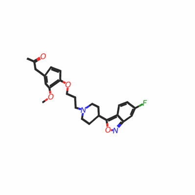 COc1cc(CC(C)=O)ccc1OCCCN1CCC(c2onc3cc(F)ccc23)CC1